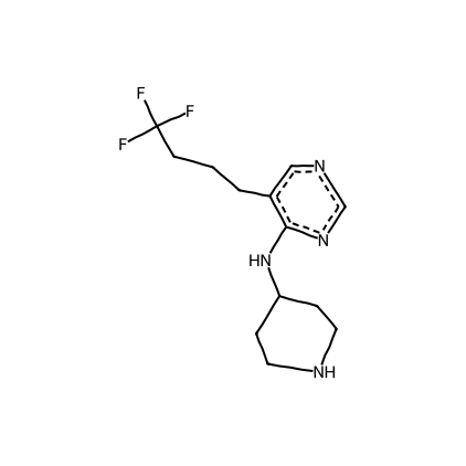 FC(F)(F)CCCc1cncnc1NC1CCNCC1